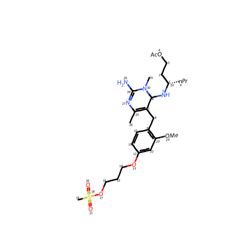 CCC[C@@H](CCOC(C)=O)NC1C(Cc2ccc(OCCCOS(C)(=O)=O)cc2OC)=C(C)N=C(N)N1C